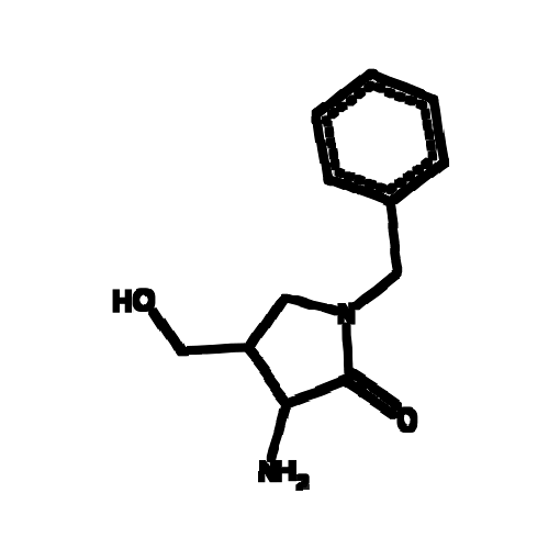 NC1C(=O)N(Cc2ccccc2)CC1CO